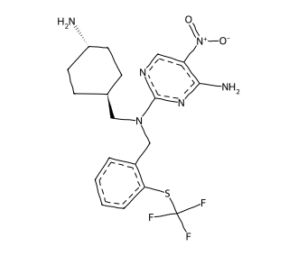 Nc1nc(N(Cc2ccccc2SC(F)(F)F)C[C@H]2CC[C@H](N)CC2)ncc1[N+](=O)[O-]